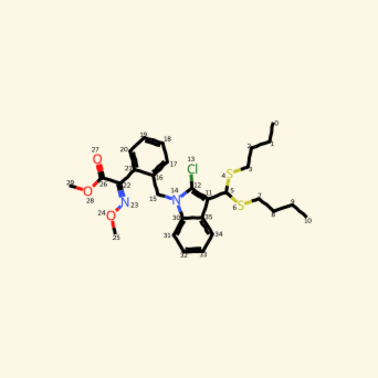 CCCCSC(SCCCC)c1c(Cl)n(Cc2ccccc2C(=NOC)C(=O)OC)c2ccccc12